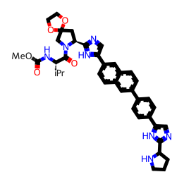 COC(=O)N[C@H](C(=O)N1CC2(C[C@H]1c1ncc(-c3ccc4cc(-c5ccc(-c6cnc(C7CCCN7)[nH]6)cc5)ccc4c3)[nH]1)OCCO2)C(C)C